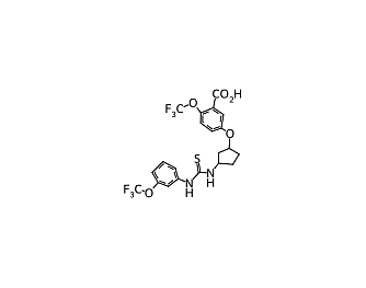 O=C(O)c1cc(OC2CCC(NC(=S)Nc3cccc(OC(F)(F)F)c3)C2)ccc1OC(F)(F)F